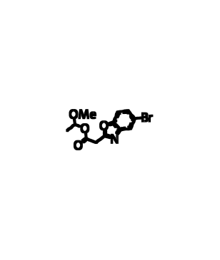 COC(C)OC(=O)Cc1nc2cc(Br)ccc2o1